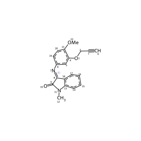 C#CCOc1cc(/N=C2/C(=O)N(C)c3ccccc32)ccc1OC